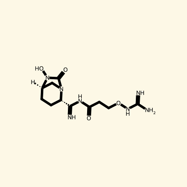 N=C(N)NOCCC(=O)NC(=N)[C@@H]1CC[C@@H]2CN1C(=O)N2O